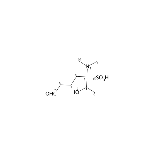 CC(O)C(CCCC=O)(N(C)C)S(=O)(=O)O